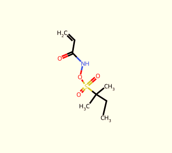 C=CC(=O)NOS(=O)(=O)C(C)(C)CC